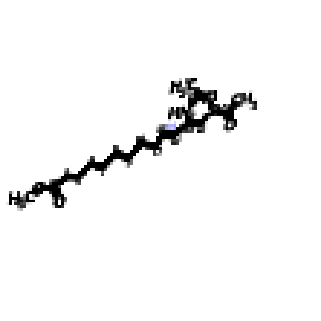 COC(=O)CCCCCCCC/C=C/C(CSC(C)=O)NC(C)=O